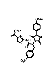 COC(=O)c1csc(NC(=O)C(Cc2ccc([N+](=O)[O-])cc2)N2C(=O)NC(c3ccc(OC)cc3)C2=O)n1